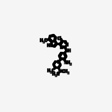 Cc1cccc2c(-c3nc(Nc4ccc(N5CCC(C)[C@H](N(C)C)C5)c(N)c4)ncc3Cl)c[nH]c12